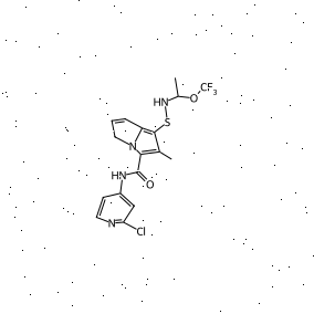 Cc1c(SNC(C)OC(F)(F)F)c2n(c1C(=O)Nc1ccnc(Cl)c1)CC=C2